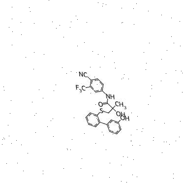 CC(O)(CSc1ccccc1-c1cccc(O)c1)C(=O)Nc1ccc(C#N)c(C(F)(F)F)c1